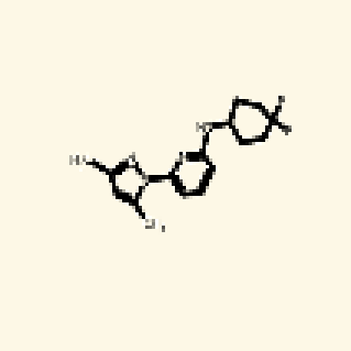 Cc1cc(C)n(-c2c[c]cc(NC3CCC(F)(F)CC3)n2)n1